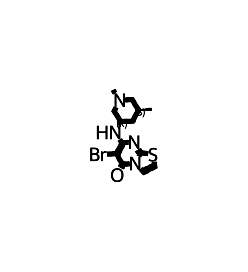 C[C@H]1C[C@@H](Nc2nc3sccn3c(=O)c2Br)CN(C)C1